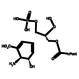 CCCCCC(=O)OC[C@H](COP(=O)(O)O)OO.N[C@H]1C(C(=O)O)=CC=C[C@@H]1O